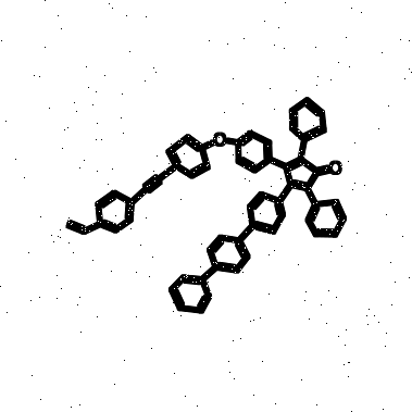 C=Cc1ccc(C#Cc2ccc(Oc3ccc(C4=C(c5ccccc5)C(=O)C(c5ccccc5)=C4c4ccc(-c5ccc(-c6ccccc6)cc5)cc4)cc3)cc2)cc1